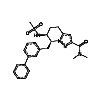 CN(C)C(=O)c1cc2n(n1)[C@@H](Cc1cccc(-c3ccccc3)c1)[C@@H](NS(C)(=O)=O)CC2